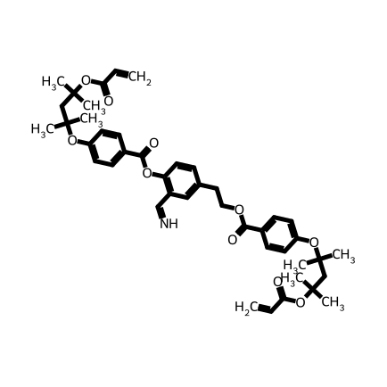 C=CC(=O)OC(C)(C)CC(C)(C)Oc1ccc(C(=O)OCCc2ccc(OC(=O)c3ccc(OC(C)(C)CC(C)(C)OC(=O)C=C)cc3)c(C=N)c2)cc1